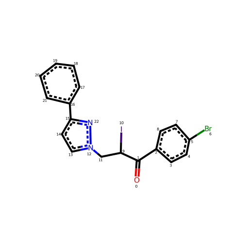 O=C(c1ccc(Br)cc1)C(I)Cn1ccc(-c2ccccc2)n1